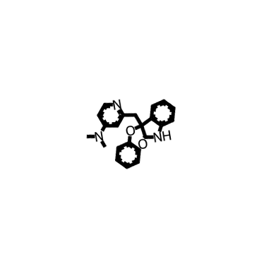 CN(C)c1ccnc(CC2(Oc3ccccc3)C(=O)Nc3ccccc32)c1